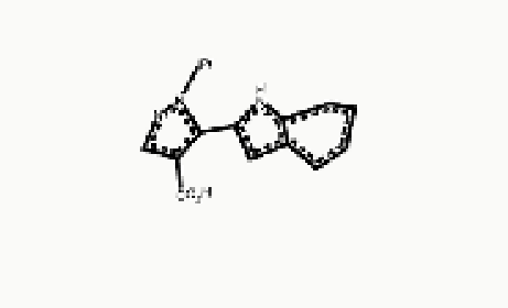 CC(C)n1ncc(C(=O)O)c1-c1cc2ccccc2[nH]1